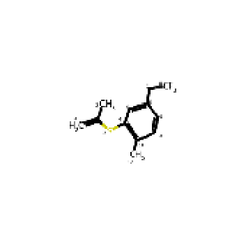 C=C(C)Sc1cc(CC(F)(F)F)ccc1C